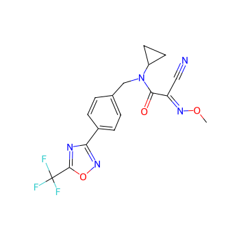 CO/N=C(\C#N)C(=O)N(Cc1ccc(-c2noc(C(F)(F)F)n2)cc1)C1CC1